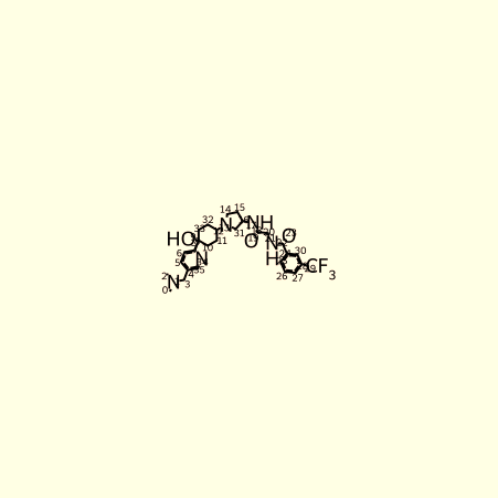 CN(C)Cc1ccc(C2(O)CCC(N3CCC(NC(=O)CNC(=O)c4cccc(C(F)(F)F)c4)C3)CC2)nc1